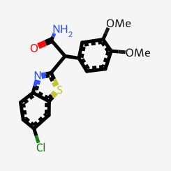 COc1ccc(C(C(N)=O)c2nc3ccc(Cl)cc3s2)cc1OC